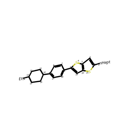 CCCCCCCc1cc2sc(-c3ccc(C4CCC(CC)CC4)cc3)cc2s1